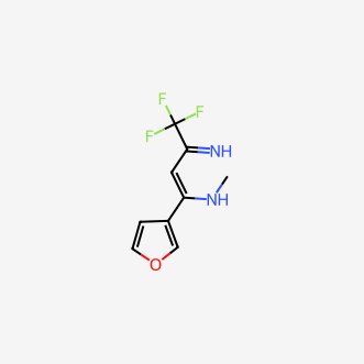 CN/C(=C\C(=N)C(F)(F)F)c1ccoc1